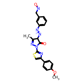 COc1ccc(-c2csc(N3N=C(C)C(/N=N/c4cccc(CN=O)c4)C3=O)n2)cc1